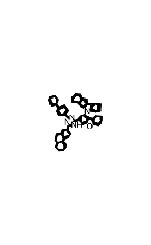 c1ccc(-c2ccc(C3=NC(c4ccc5c(ccc6ccccc65)c4)NC(c4cc(-n5c6ccccc6c6cc7ccccc7cc65)c5c(c4)oc4ccccc45)=N3)cc2)cc1